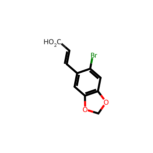 O=C(O)/C=C/c1cc2c(cc1Br)OCO2